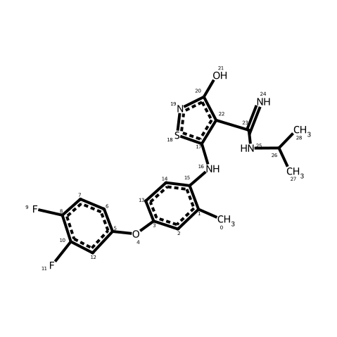 Cc1cc(Oc2ccc(F)c(F)c2)ccc1Nc1snc(O)c1C(=N)NC(C)C